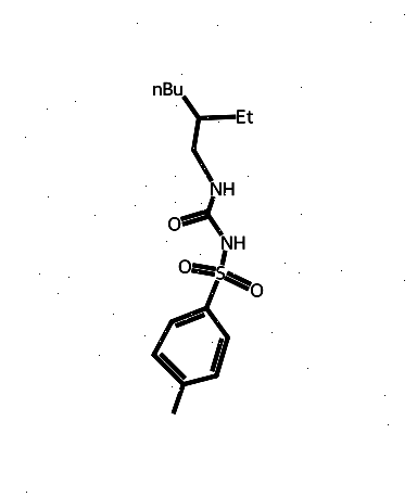 CCCCC(CC)CNC(=O)NS(=O)(=O)c1ccc(C)cc1